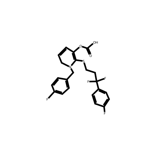 O=C(O)OC1=C(SCCC(F)(F)c2ccc(F)cc2)N(Cc2ccc(F)cc2)CC=C1